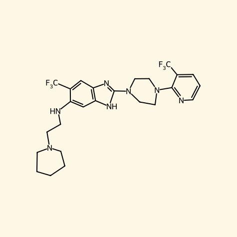 FC(F)(F)c1cc2nc(N3CCN(c4ncccc4C(F)(F)F)CC3)[nH]c2cc1NCCN1CCCCC1